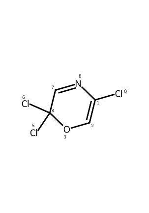 ClC1=COC(Cl)(Cl)C=N1